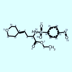 CCOC(=O)C(CC=C1CCOCC1)NS(=O)(=O)c1ccc(N=O)cc1